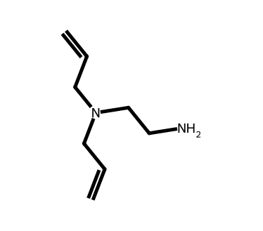 C=CCN(CC=C)CCN